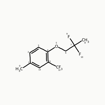 Cc1ccc(OCC(C)(F)F)c(C(F)(F)F)c1